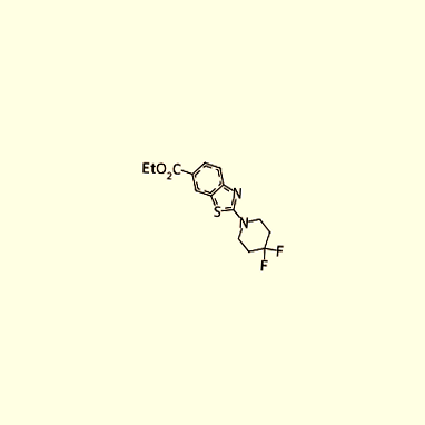 CCOC(=O)c1ccc2nc(N3CCC(F)(F)CC3)sc2c1